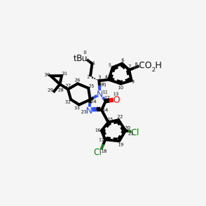 CC(C)(C)CC[C@H](c1ccc(C(=O)O)cc1)N1C(=O)C(c2cc(Cl)cc(Cl)c2)=NC12CCC(C1(C)CC1)CC2